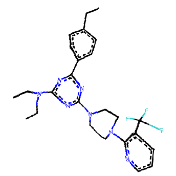 CCc1ccc(-c2nc(N(CC)CC)nc(N3CCN(c4ncccc4C(F)(F)F)CC3)n2)cc1